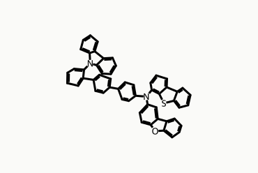 c1ccc(-n2c3ccccc3c3ccccc32)c(-c2ccc(-c3ccc(N(c4ccc5oc6ccccc6c5c4)c4cccc5c4sc4ccccc45)cc3)cc2)c1